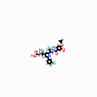 COc1cc(C(=O)NCC(c2cc(C(C)(C)NCC(=O)O)cc(-c3ccc(F)c(Cl)c3)n2)C(F)(F)F)ccc1OC1CC1